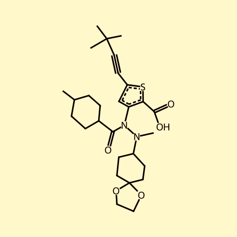 CC1CCC(C(=O)N(c2cc(C#CC(C)(C)C)sc2C(=O)O)N(C)C2CCC3(CC2)OCCO3)CC1